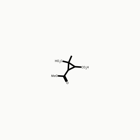 COC(=O)C1C(C(=O)O)C1(C)C(=O)O